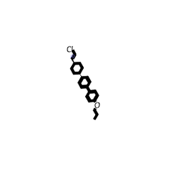 CCCOc1ccc(-c2ccc([C@H]3CC[C@H](/C=C/Cl)CC3)cc2)cc1